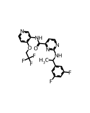 CC(Nc1nccc(C(=O)Nc2cnccc2OCC(F)(F)F)n1)c1cc(F)cc(F)c1